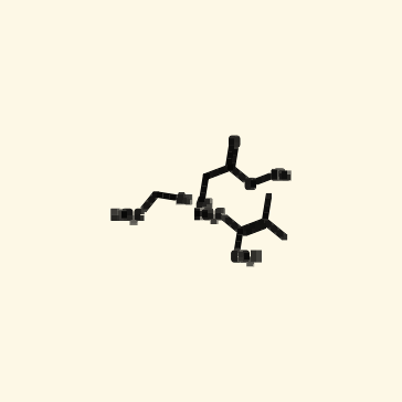 CC(=O)CC(=O)OC(C)(C)C.CC(C)=C(C(=O)O)C(=O)O.CCOC(=O)CC(C)=O